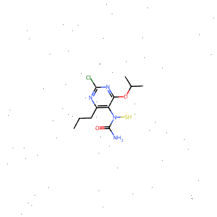 CCCc1nc(Cl)nc(OC(C)C)c1N(S)C(N)=O